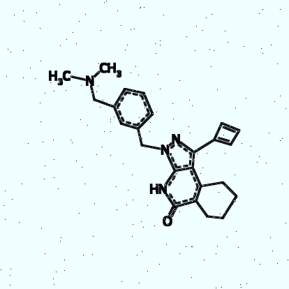 CN(C)Cc1cccc(Cn2nc(C3=CC=C3)c3c4c(c(=O)[nH]c32)CCCC4)c1